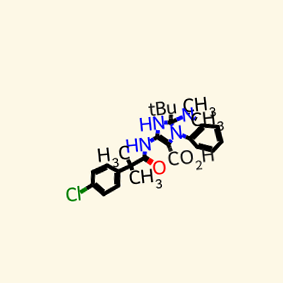 CN(C)C1(C(C)(C)C)NC(NC(=O)C(C)(C)c2ccc(Cl)cc2)=C(C(=O)O)N1c1ccccc1